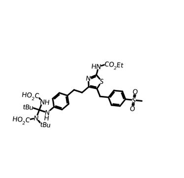 CCOC(=O)Nc1nc(CCc2ccc(NC(NC(=O)O)(N(C(=O)O)C(C)(C)C)C(C)(C)C)cc2)c(Cc2ccc(S(C)(=O)=O)cc2)s1